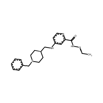 CCONC(=O)c1cc(NCC2CCN(Cc3ccccc3)CC2)ccn1